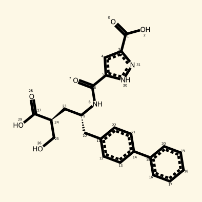 O=C(O)c1cc(C(=O)N[C@H](Cc2ccc(-c3ccccc3)cc2)C[C@@H](CO)C(=O)O)[nH]n1